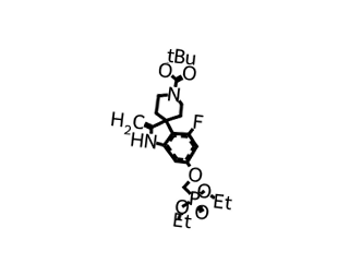 C=C1Nc2cc(OCP(=O)(OCC)OCC)cc(F)c2C12CCN(C(=O)OC(C)(C)C)CC2